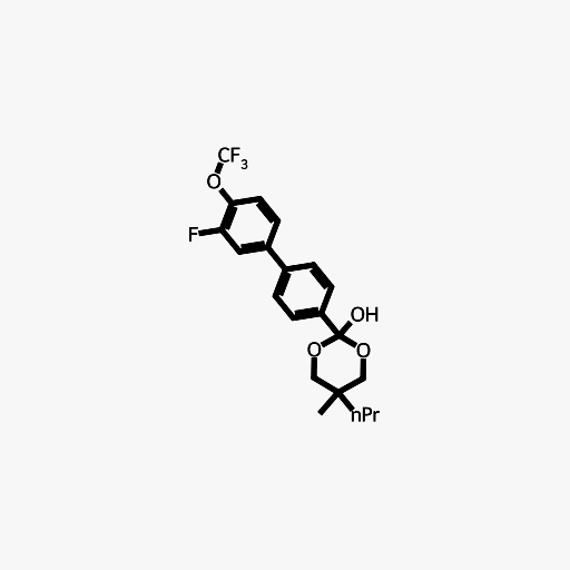 CCCC1(C)COC(O)(c2ccc(-c3ccc(OC(F)(F)F)c(F)c3)cc2)OC1